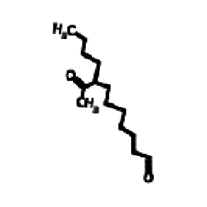 CCCCC(CCCCCCC=O)C(C)=O